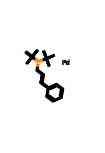 CC(C)(C)P(CC=Cc1ccccc1)C(C)(C)C.[Pd]